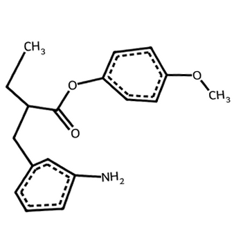 CCC(Cc1cccc(N)c1)C(=O)Oc1ccc(OC)cc1